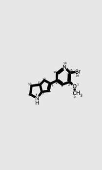 COc1cc(C2=CC3NCCC3C2)cnc1Br